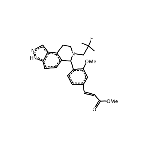 COC(=O)/C=C/c1ccc(C2c3ccc4[nH]ncc4c3CCN2CC(C)(C)F)c(OC)c1